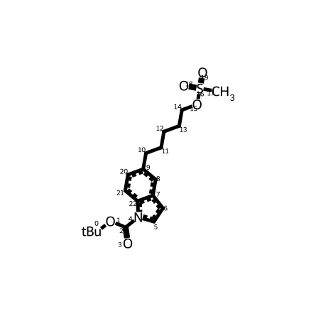 CC(C)(C)OC(=O)n1ccc2cc(CCCCCOS(C)(=O)=O)ccc21